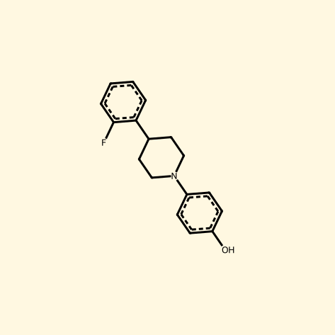 Oc1ccc(N2CCC(c3ccccc3F)CC2)cc1